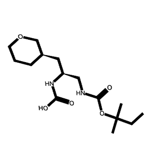 CCC(C)(C)OC(=O)NC[C@H](C[C@H]1CCCOC1)NC(=O)O